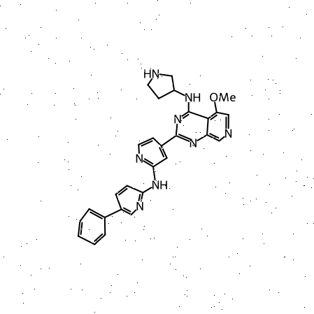 COc1cncc2nc(-c3ccnc(Nc4ccc(-c5ccccc5)cn4)c3)nc(NC3CCNC3)c12